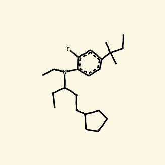 CCC(CCC1CCCC1)N(CC)c1ccc(C(C)(C)CC)cc1F